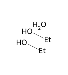 CCO.CCO.O